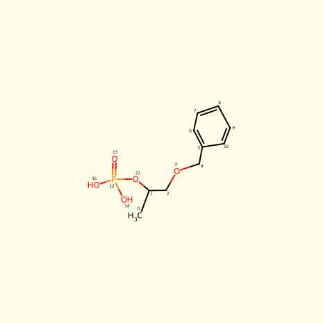 CC(COCc1ccccc1)OP(=O)(O)O